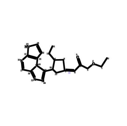 CCOCC(=O)/C=C1\CC(CC)C(c2nnc3cnc4[nH]ccc4n23)C1